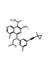 CN(N)c1c(N)nc(N(CC(F)F)c2cc(F)cc(C#CC3(C)CC3)c2)c2c(F)cncc12